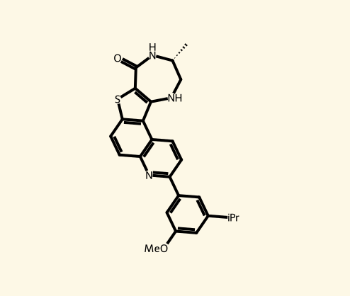 COc1cc(-c2ccc3c(ccc4sc5c(c43)NC[C@@H](C)NC5=O)n2)cc(C(C)C)c1